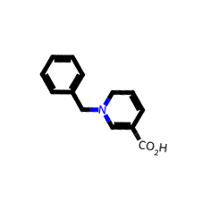 O=C(O)C1=CN(Cc2ccccc2)CC=C1